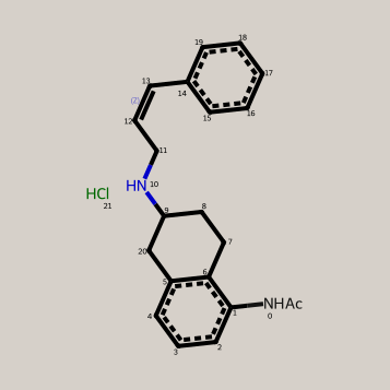 CC(=O)Nc1cccc2c1CCC(NC/C=C\c1ccccc1)C2.Cl